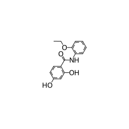 CCOc1ccccc1NC(=O)c1ccc(O)cc1O